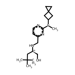 CN(c1nccc(CN[C@@H](CO)CC(C)(C)C)n1)C1CC2(CC2)C1